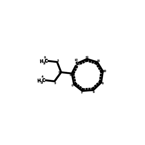 CCC(CC)c1cccccccs1